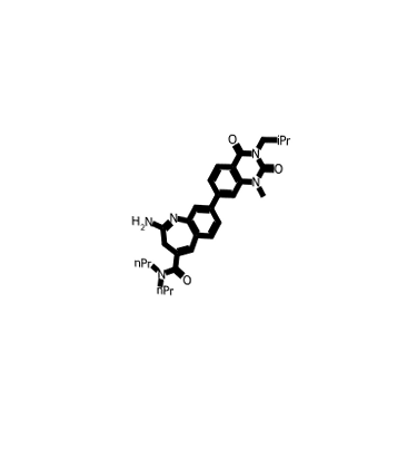 CCCN(CCC)C(=O)C1=Cc2ccc(-c3ccc4c(=O)n(CC(C)C)c(=O)n(C)c4c3)cc2N=C(N)C1